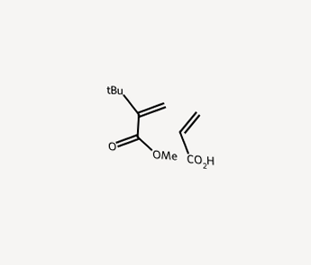 C=C(C(=O)OC)C(C)(C)C.C=CC(=O)O